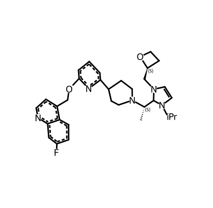 CC(C)N1C=CN(C[C@@H]2CCO2)C1[C@H](C)N1CCC(c2cccc(OCc3ccnc4cc(F)ccc34)n2)CC1